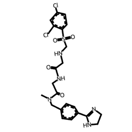 CN(Cc1ccc(C2=NCCN2)cc1)C(=O)CNC(=O)CNCS(=O)(=O)c1ccc(Cl)cc1Cl